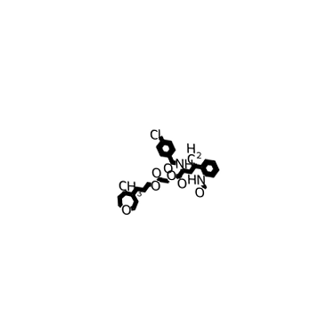 C=C(CC(NC(=O)c1ccc(Cl)cc1)C(=O)OCC(=O)OCCCC1CCOCCC1C)c1ccccc1NC=O